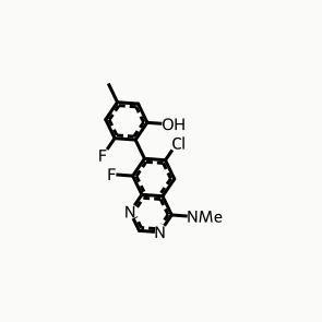 CNc1ncnc2c(F)c(-c3c(O)cc(C)cc3F)c(Cl)cc12